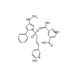 CNc1cc(-c2ccccc2)n(S(=O)(=O)CC=Cc2cccnc2)c1.Cl.Cl.O=C(O)c1cccc(C(=O)O)c1